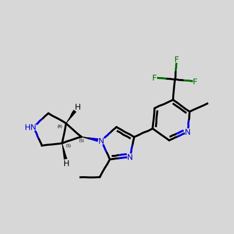 CCc1nc(-c2cnc(C)c(C(F)(F)F)c2)cn1[C@H]1[C@@H]2CNC[C@@H]21